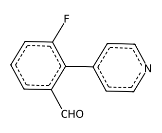 O=Cc1cccc(F)c1-c1ccncc1